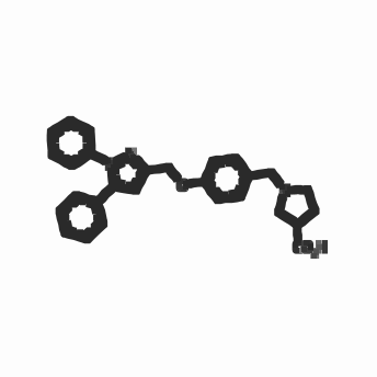 O=C(O)C1CCN(Cc2ccc(OCc3cc(-c4ccccc4)n(-c4ccccc4)n3)cc2)C1